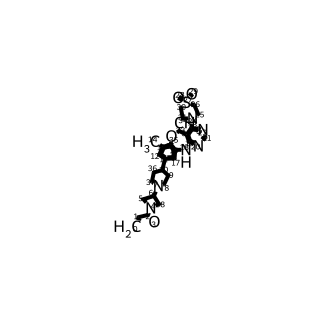 C=CC(=O)N1CC(N2CCC(c3cc(C)c4c(c3)Nc3ncnc(N5CCS(=O)(=O)CC5)c3[C@@H](C)O4)CC2)C1